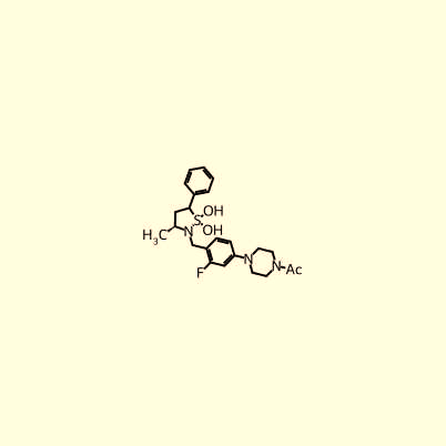 CC(=O)N1CCN(c2ccc(CN3[C@@H](C)CC(c4ccccc4)S3(O)O)c(F)c2)CC1